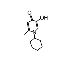 Cc1cc(=O)c(O)cn1C1CCCCC1